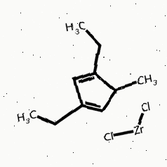 CCC1=C[C](C)C(CC)=C1.[Cl][Zr][Cl]